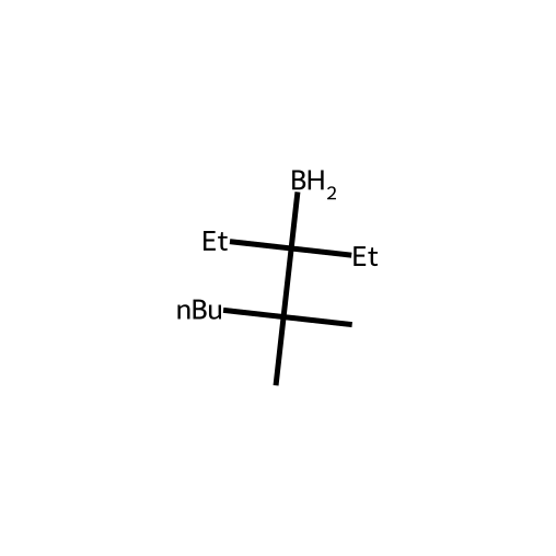 BC(CC)(CC)C(C)(C)CCCC